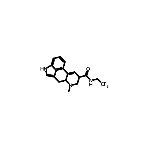 CN1CC(C(=O)NCC(F)(F)F)C=C2c3cccc4[nH]cc(c34)CC21